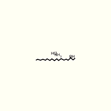 CCCCCCCCCCCCCCCC(O)CC.Cl.N